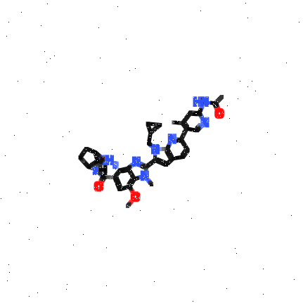 COc1cc(C(=O)N2CC3CCC2[C@@H]3N)cc2nc(-c3cc4ccc(-c5cnc(NC(C)=O)cc5C)nc4n3CC3CC3)n(C)c12